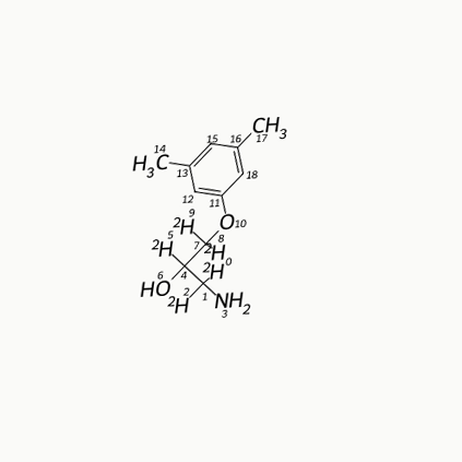 [2H]C([2H])(N)C([2H])(O)C([2H])([2H])Oc1cc(C)cc(C)c1